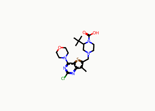 Cc1c(CN2CCN(C(=O)O)C(C(C)(C)C)C2)sc2c(N3CCOCC3)nc(Cl)nc12